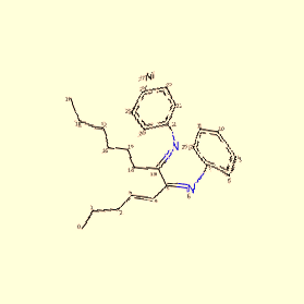 CCCC=CC(=Nc1ccccc1)C(CCCCCC)=Nc1ccccc1.[Ni]